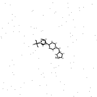 CC(C)(C)n1cc(C2CCN(CC3CCNC3)CC2)cn1